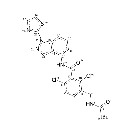 CC(C)(C)C(=O)NCc1ccc(Cl)c(C(=O)Nc2cccc3c2cnn3-c2nccs2)c1Cl